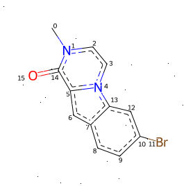 Cn1ccn2c(cc3ccc(Br)cc32)c1=O